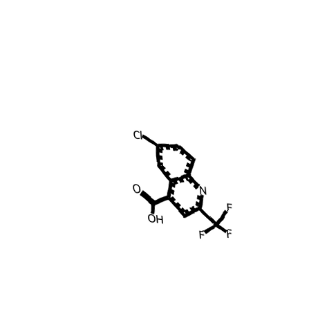 O=C(O)c1cc(C(F)(F)F)nc2ccc(Cl)cc12